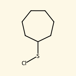 ClSC1CCCCCC1